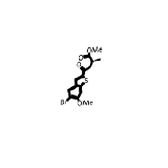 COC(=O)[C@@H](C)CC(=O)c1cc2cc(Br)c(OC)cc2s1